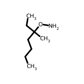 CCCCC(C)(CC)ON